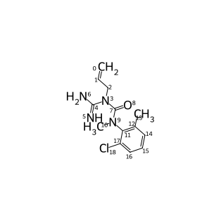 C=CCN(C(=N)N)C(=O)N(C)c1c(C)cccc1Cl